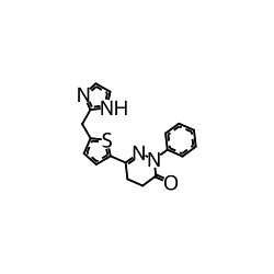 O=C1CCC(c2ccc(Cc3ncc[nH]3)s2)=NN1c1ccccc1